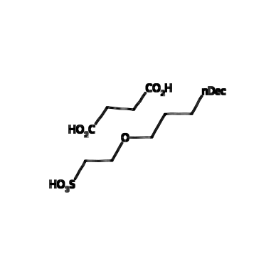 CCCCCCCCCCCCCOCCS(=O)(=O)O.O=C(O)CCC(=O)O